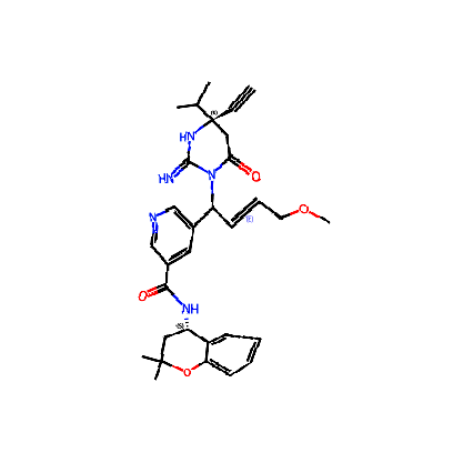 C#C[C@@]1(C(C)C)CC(=O)N(C(/C=C/COC)c2cncc(C(=O)N[C@H]3CC(C)(C)Oc4ccccc43)c2)C(=N)N1